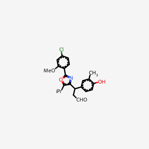 COc1cc(Cl)ccc1-c1nc(C(CC=O)c2ccc(O)c(C)c2)c(C(C)C)o1